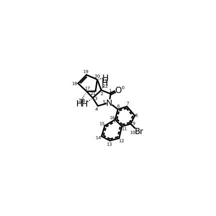 O=C1[C@H]2[C@@H](CN1c1ccc(Br)c3ccccc13)[C@H]1C=C[C@@H]2C1